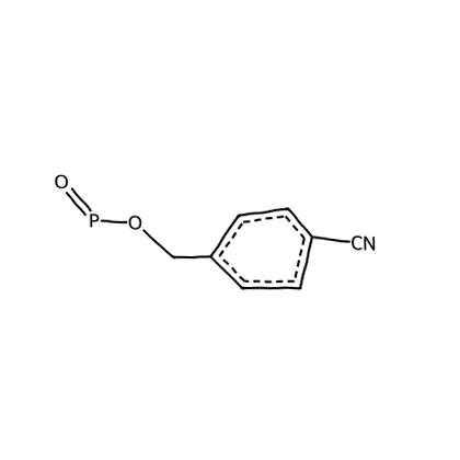 N#Cc1ccc(COP=O)cc1